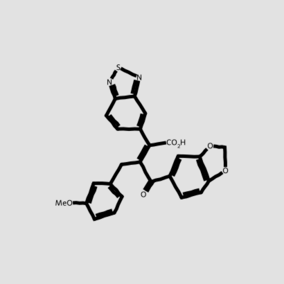 COc1cccc(CC(C(=O)c2ccc3c(c2)OCO3)=C(C(=O)O)c2ccc3nsnc3c2)c1